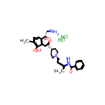 Cc1ccc2c(c1O)C[C@@H](C1CCN(CCC(C)NC(=O)c3ccccc3)CC1)O[C@H]2CN.Cl.Cl